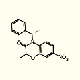 CC1Oc2cc([N+](=O)[O-])ccc2N([C@@H](C)c2ccccc2)C1=O